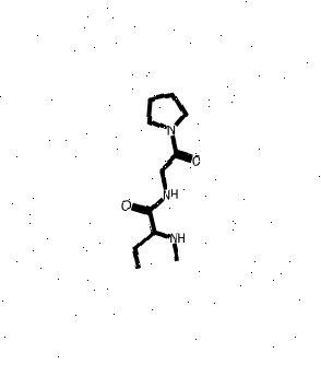 CCC(NC)C(=O)NCC(=O)N1CCCC1